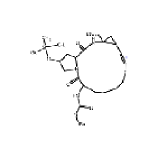 CCOC(=O)C12CC1/C=C\CCCCCC(NC(=O)OC(C)(C)C)C(=O)N1CC(O[Si](C)(C)C(C)(C)C)CC1C(=O)N2